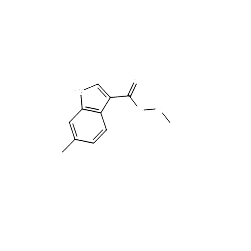 COOC(=O)c1c[nH]c2cc(C)ccc12